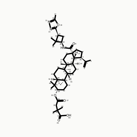 C=C(C)[C@@H]1CC[C@]2(C(=O)N[C@@H]3C[C@H](c4nnc(C)o4)C3(C)C)CC[C@]3(C)[C@H](CC[C@@H]4[C@@]5(C)CC[C@H](OC(=O)CC(C)(C)C(=O)O)C(C)(C)[C@@H]5CC[C@]43C)[C@@H]12